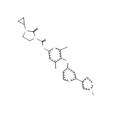 Cc1cc(NC(=O)N2CCN(C3CC3)C2=O)nc(C)c1Oc1ccnc(-c2cnn(C)c2)c1